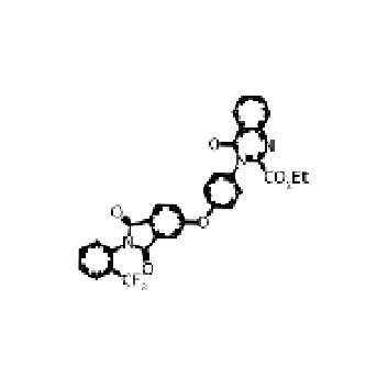 CCOC(=O)c1nc2ccccc2c(=O)n1-c1ccc(Oc2ccc3c(c2)C(=O)N(c2ccccc2C(F)(F)F)C3=O)cc1